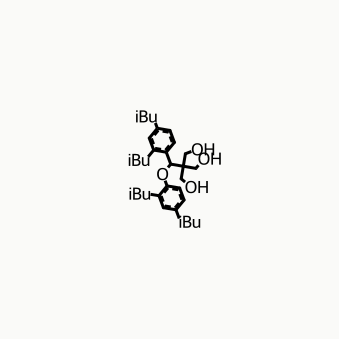 CCC(C)c1ccc(OC(c2ccc(C(C)CC)cc2C(C)CC)C(CO)(CO)CO)c(C(C)CC)c1